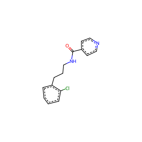 O=C(NCCCc1ccccc1Cl)c1ccncc1